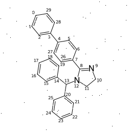 c1ccc(-c2ccc(C3=NCCN3C(c3ccccc3)c3ccccc3)cc2)cc1